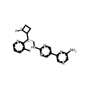 Nc1cncc(-c2cnc(NC[C@H](c3ncccc3F)C3CC[C@@H]3F)nc2)n1